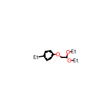 CCOC(COc1ccc(CC)cc1)OCC